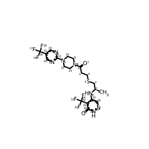 C[C@H](CSCCC(=O)N1CCN(c2ncc(C(F)(F)F)cn2)CC1)Nc1cn[nH]c(=O)c1C(F)(F)F